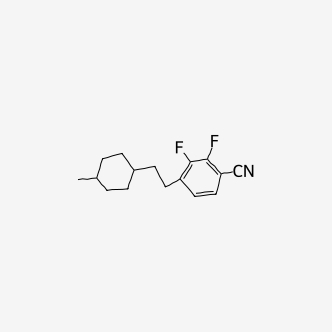 CC1CCC(CCc2ccc(C#N)c(F)c2F)CC1